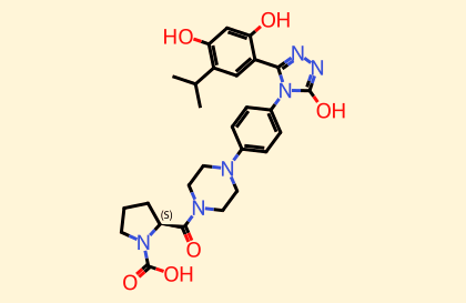 CC(C)c1cc(-c2nnc(O)n2-c2ccc(N3CCN(C(=O)[C@@H]4CCCN4C(=O)O)CC3)cc2)c(O)cc1O